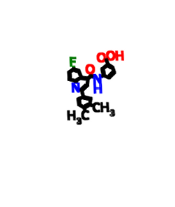 Cc1ccc(-c2cc(C(=O)Nc3cccc(C(=O)O)c3)c3cc(F)ccc3n2)cc1C